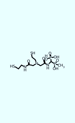 CP(=O)(O)C(NC(=O)CN(CCS)CC(=O)NCCS)P(=O)(O)O